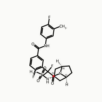 Cc1cc(NC(=O)c2ccc(F)c(C(F)(F)C(=O)N3[C@@H]4CC[C@H]3C[C@H](NS(C)(=O)=O)C4)c2)ccc1F